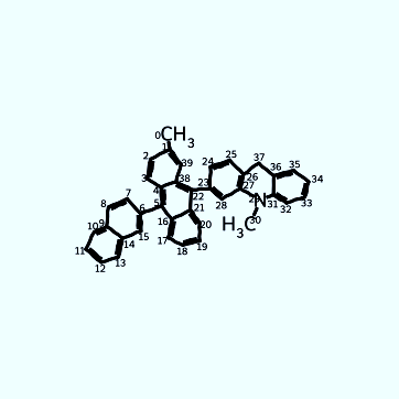 Cc1ccc2c(-c3ccc4ccccc4c3)c3ccccc3c(-c3ccc4c(c3)N(C)c3ccccc3C4)c2c1